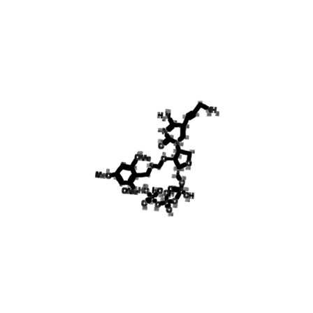 COc1cc(OC)c(CSCO[C@H]2C(n3cc(C#CCN)c(N)nc3=O)CO[C@@H]2COP(=O)(O)OP(=O)(O)OP(=O)(O)O)c(OC)c1